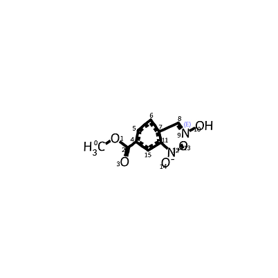 COC(=O)c1ccc(/C=N/O)c([N+](=O)[O-])c1